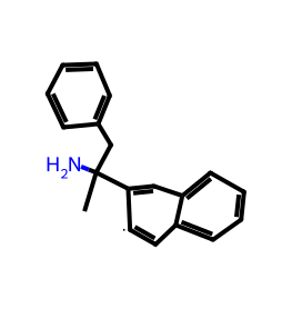 CC(N)(Cc1ccccc1)c1[c]cc2ccccc2c1